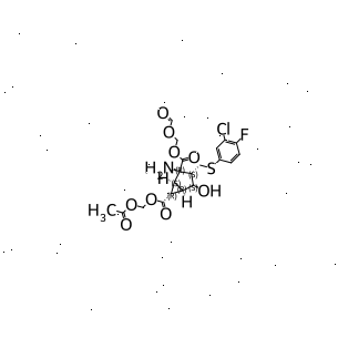 CC(=O)OCOC(=O)[C@H]1[C@@H]2[C@H](O)[C@@H](CSc3ccc(F)c(Cl)c3)[C@@](N)(C(=O)OCOC=O)[C@H]12